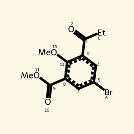 CCC(=O)c1cc(Br)cc(C(=O)OC)c1OC